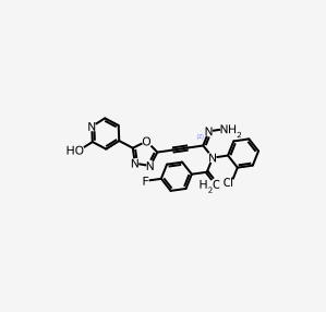 C=C(c1ccc(F)cc1)N(/C(C#Cc1nnc(-c2ccnc(O)c2)o1)=N\N)c1ccccc1Cl